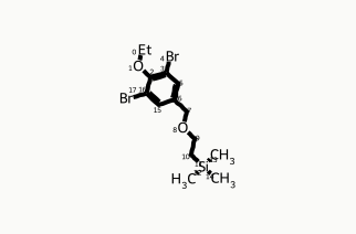 CCOc1c(Br)cc(COCC[Si](C)(C)C)cc1Br